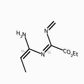 C=N/C(=N\C(N)=C/C)C(=O)OCC